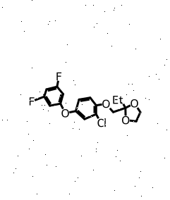 CCC1(COc2ccc(Oc3cc(F)cc(F)c3)cc2Cl)OCCO1